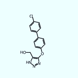 OCc1[nH]nnc1Oc1ccc(-c2ccc(Cl)cc2)cc1